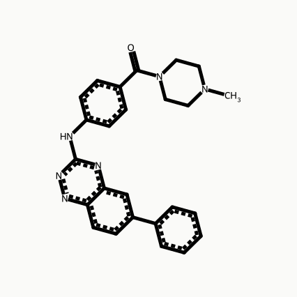 CN1CCN(C(=O)c2ccc(Nc3nnc4ccc(-c5ccccc5)cc4n3)cc2)CC1